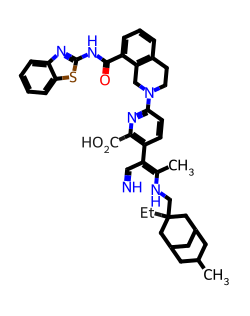 CCC1(CN/C(C)=C(\C=N)c2ccc(N3CCc4cccc(C(=O)Nc5nc6ccccc6s5)c4C3)nc2C(=O)O)CC2CC(C)CC(C2)C1